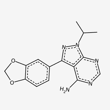 CC(C)n1nc(-c2ccc3c(c2)OCO3)c2c(N)ncnc21